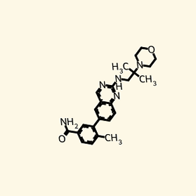 Cc1ccc(C(N)=O)cc1-c1ccc2nc(NCC(C)(C)N3CCOCC3)ncc2c1